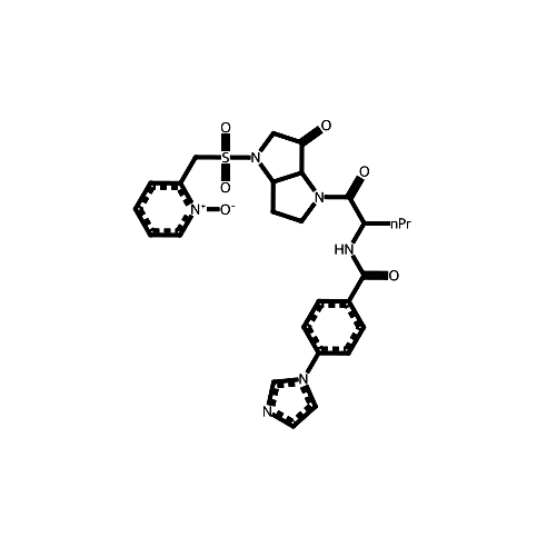 CCCC(NC(=O)c1ccc(-n2ccnc2)cc1)C(=O)N1CCC2C1C(=O)CN2S(=O)(=O)Cc1cccc[n+]1[O-]